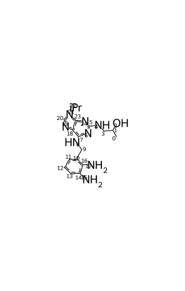 CC(O)CNc1nc(NCc2cccc(N)c2N)c2ncn(C(C)C)c2n1